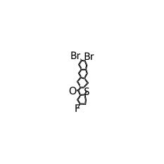 O=c1c2cc(F)ccc2sc2cc3cc4cc(Br)c(Br)cc4cc3cc12